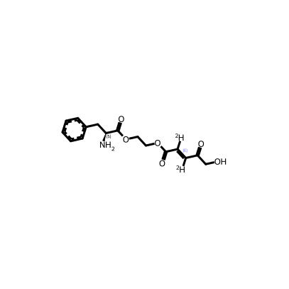 [2H]/C(C(=O)CO)=C(/[2H])C(=O)OCCOC(=O)[C@@H](N)Cc1ccccc1